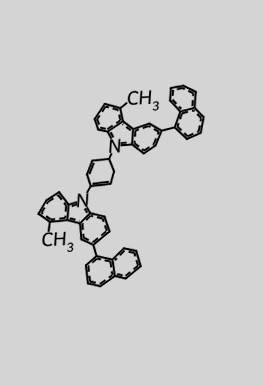 Cc1cccc2c1c1cc(-c3cccc4ccccc34)ccc1n2C1=CCC(n2c3ccc(-c4cccc5ccccc45)cc3c3c(C)cccc32)C=C1